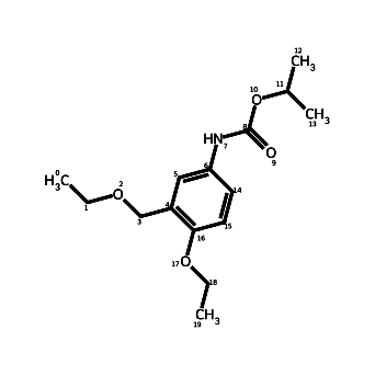 CCOCc1cc(NC(=O)OC(C)C)ccc1OCC